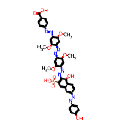 COc1cc(N=Nc2cc(OC)c(N=Nc3c(S(=O)(=O)O)cc4cc(N=Nc5ccc(O)cc5)ccc4c3O)cc2OC)c(OC)cc1N=Nc1ccc(C(=O)O)cc1